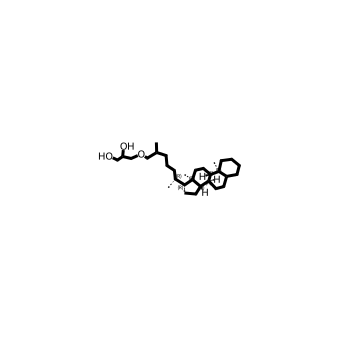 CC(CCC[C@@H](C)[C@H]1CC[C@H]2[C@@H]3CCC4CCCC[C@]4(C)[C@H]3CC[C@]12C)COCC(O)CO